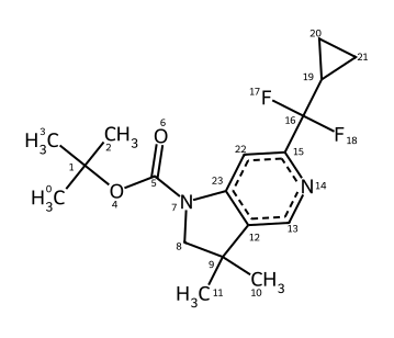 CC(C)(C)OC(=O)N1CC(C)(C)c2cnc(C(F)(F)C3CC3)cc21